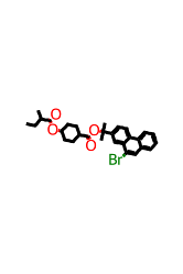 CCC(C)C(=O)OC1CCC(C(=O)OC(C)(C)c2ccc3c(c2)c(Br)cc2ccccc23)CC1